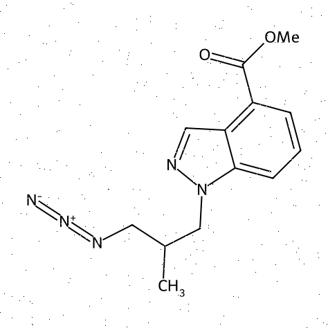 COC(=O)c1cccc2c1cnn2CC(C)CN=[N+]=[N-]